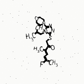 C/C(F)=C\C=C(/C)C(=O)CSc1nnc(N2CCOCC2)n1CC(C)C